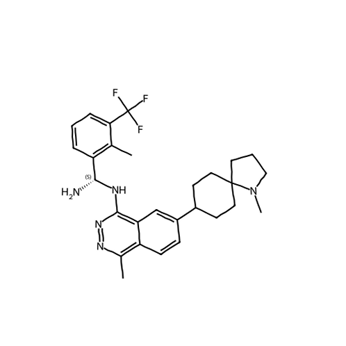 Cc1c([C@@H](N)Nc2nnc(C)c3ccc(C4CCC5(CCCN5C)CC4)cc23)cccc1C(F)(F)F